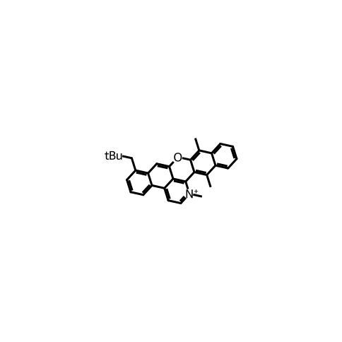 Cc1c2c(c(C)c3ccccc13)-c1c3c(cc4c(CC(C)(C)C)cccc4c3cc[n+]1C)O2